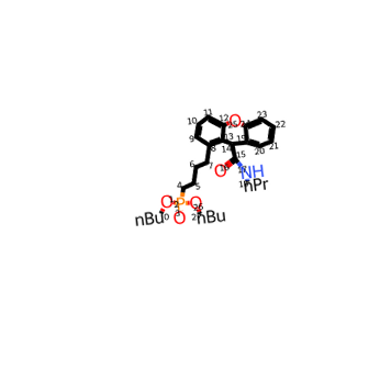 CCCCOP(=O)(CCCCc1cccc2c1C(C(=O)NCCC)c1ccccc1O2)OCCCC